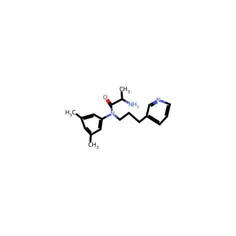 Cc1cc(C)cc(N(CCCc2cccnc2)C(=O)C(C)N)c1